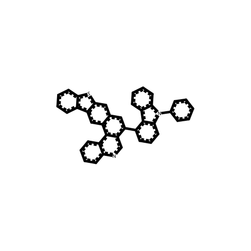 c1ccc(-n2c3ccccc3c3c(-c4cc5cc6sc7ccccc7c6cc5c5c4cnc4ccccc45)cccc32)cc1